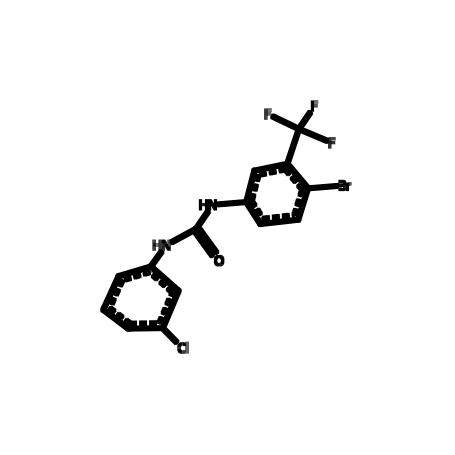 O=C(Nc1cccc(Cl)c1)Nc1ccc(Br)c(C(F)(F)F)c1